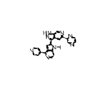 c1cc(-c2nccc3[nH]c(-c4n[nH]c5cnc(-c6cnccn6)cc45)cc23)ccn1